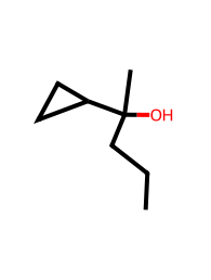 CCCC(C)(O)C1CC1